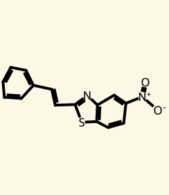 O=[N+]([O-])c1ccc2sc(C=Cc3ccccc3)nc2c1